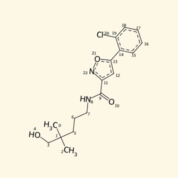 CC(C)(CO)CCCNC(=O)c1cc(-c2ccccc2Cl)on1